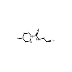 CN1CCN(C(=O)NC[C]=O)CC1